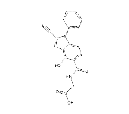 N#Cc1cc2c(O)c(C(=O)NCC(=O)O)ncc2n1-c1ccccc1